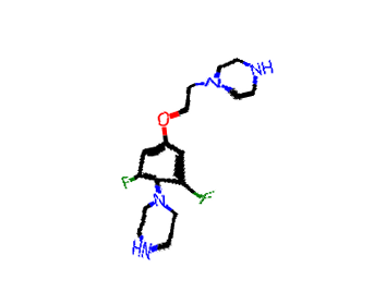 Fc1cc(OCCN2CCNCC2)cc(F)c1N1CCNCC1